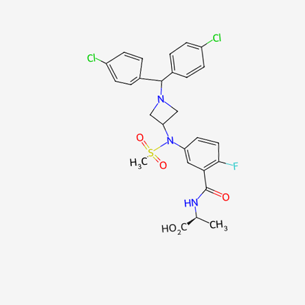 C[C@H](NC(=O)c1cc(N(C2CN(C(c3ccc(Cl)cc3)c3ccc(Cl)cc3)C2)S(C)(=O)=O)ccc1F)C(=O)O